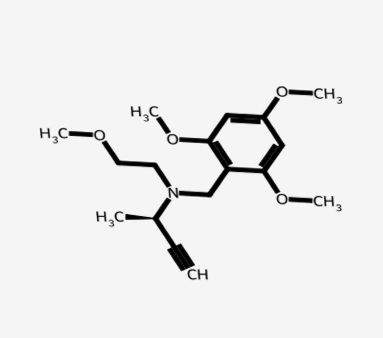 C#C[C@@H](C)N(CCOC)Cc1c(OC)cc(OC)cc1OC